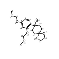 COCOc1ccc(C2(O)CCC3(CC2)OCCO3)c(OCOC)c1